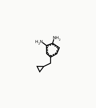 Nc1ccc(CC2CC2)cc1N